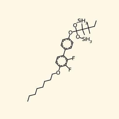 CCCCCCCCOc1ccc(-c2ccc(OC(O[SiH3])(O[SiH3])C(C)(C)C(C)(C)CC)cc2)c(F)c1F